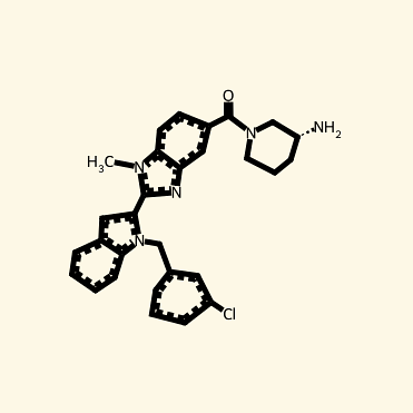 Cn1c(-c2cc3ccccc3n2Cc2cccc(Cl)c2)nc2cc(C(=O)N3CCC[C@@H](N)C3)ccc21